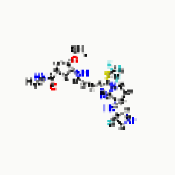 CNC(=O)c1ccc(OC)c(NCC#Cc2nc3c(N[C@@H]4CNC[C@@H]4F)cccn3c2SC(F)(F)F)c1